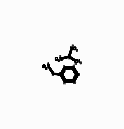 CC([N+](=O)[O-])[N+](=O)[O-].O=[N+]([O-])Cc1ccccc1